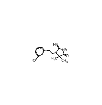 CC1(C)C(=O)NC(=N)N1CCc1cccc(Cl)c1